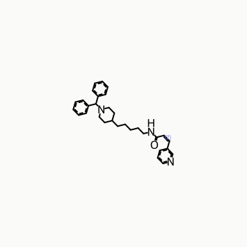 O=C(/C=C\c1cccnc1)NCCCCCC1CCN(C(c2ccccc2)c2ccccc2)CC1